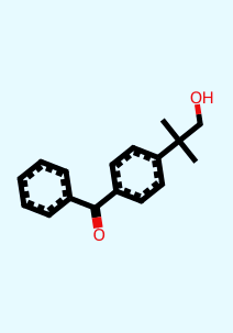 CC(C)(CO)c1ccc(C(=O)c2ccccc2)cc1